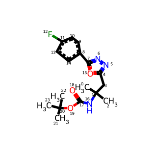 CC(C)(Cc1nnc(-c2ccc(F)cc2)o1)NC(=O)OC(C)(C)C